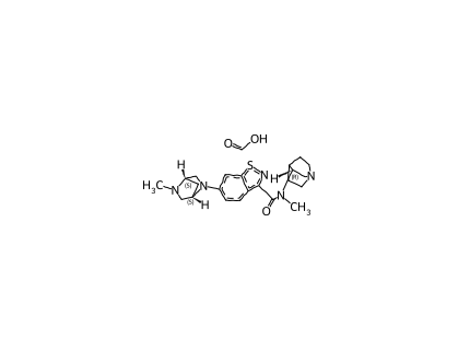 CN1C[C@@H]2C[C@H]1CN2c1ccc2c(C(=O)N(C)[C@H]3CN4CCC3CC4)nsc2c1.O=CO